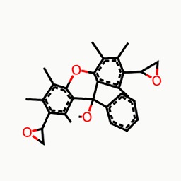 COC1(c2ccccc2)c2c(C)c(C3CO3)c(C)c(C)c2Oc2c(C)c(C)c(C3CO3)c(C)c21